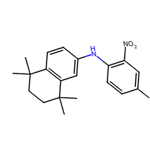 CC(=O)c1ccc(Nc2ccc3c(c2)C(C)(C)CCC3(C)C)c([N+](=O)[O-])c1